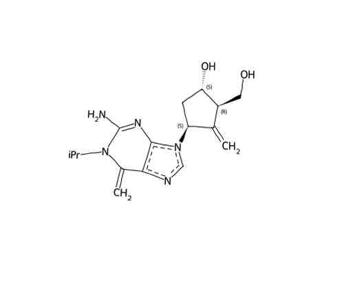 C=C1[C@H](CO)[C@@H](O)C[C@@H]1n1cnc2c1N=C(N)N(C(C)C)C2=C